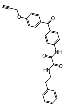 C#CCOc1ccc(C(=O)c2ccc(NC(=O)C(=O)NCCc3ccccc3)cc2)cc1